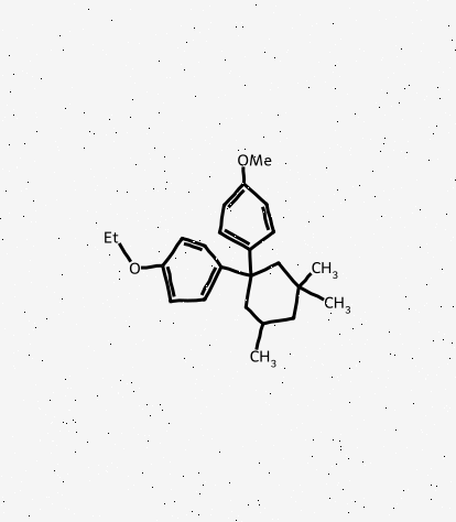 CCOc1ccc(C2(c3ccc(OC)cc3)CC(C)CC(C)(C)C2)cc1